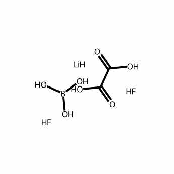 F.F.O=C(O)C(=O)O.OB(O)O.[LiH]